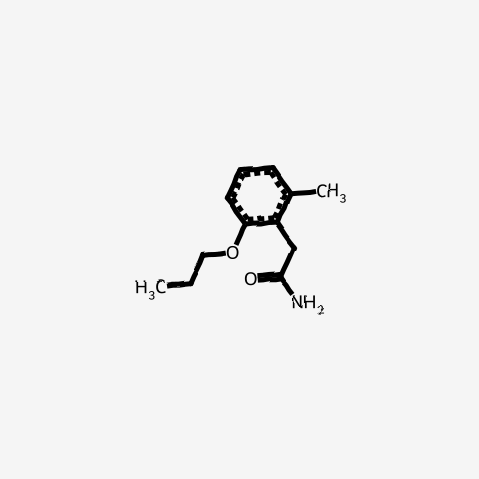 CCCOc1cccc(C)c1CC(N)=O